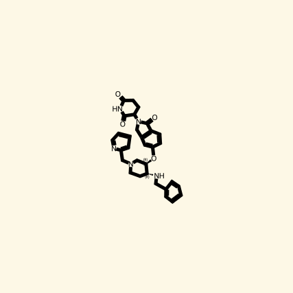 O=C1CCC(N2Cc3cc(O[C@@H]4CN(Cc5ccccn5)CC[C@H]4NCc4ccccc4)ccc3C2=O)C(=O)N1